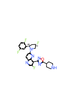 Fc1ccc(F)c([C@H]2C[C@H](F)CN2c2ccc3ncc(F)c(-c4noc(C5CCNCC5)n4)c3n2)c1